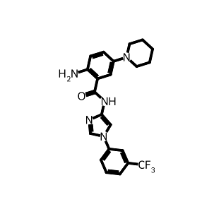 Nc1ccc(N2CCCCC2)cc1C(=O)Nc1cn(-c2cccc(C(F)(F)F)c2)cn1